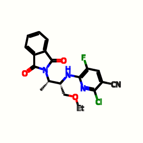 CCOC[C@@H](Nc1nc(Cl)c(C#N)cc1F)[C@H](C)N1C(=O)c2ccccc2C1=O